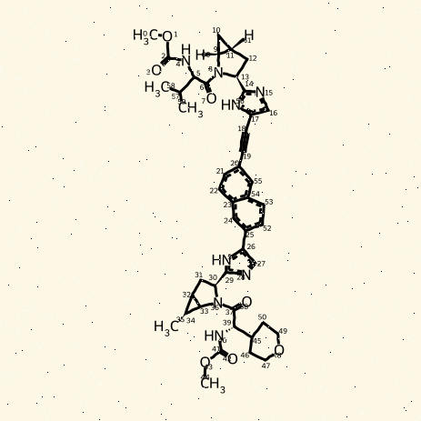 COC(=O)NC(C(=O)N1[C@@H]2C[C@@H]2C[C@H]1c1ncc(C#Cc2ccc3cc(-c4cnc([C@@H]5CC6C([C@@H]6C)N5C(=O)[C@@H](NC(=O)OC)C5CCOCC5)[nH]4)ccc3c2)[nH]1)C(C)C